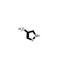 CC1=CSN[CH]1